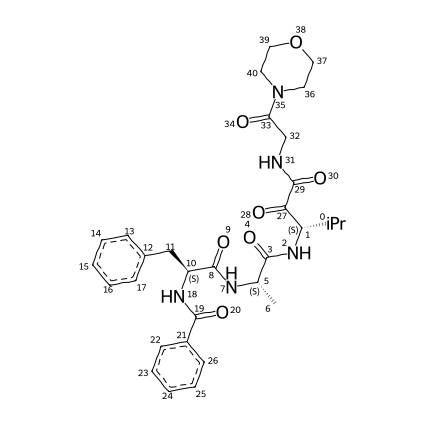 CC(C)[C@H](NC(=O)[C@H](C)NC(=O)[C@H](Cc1ccccc1)NC(=O)c1ccccc1)C(=O)C(=O)NCC(=O)N1CCOCC1